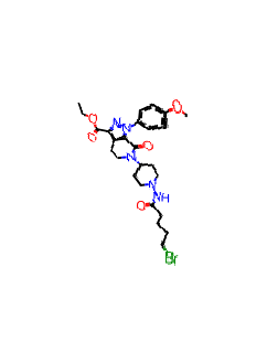 CCOC(=O)c1nn(-c2ccc(OC)cc2)c2c1CCN(C1CCN(NC(=O)CCCCBr)CC1)C2=O